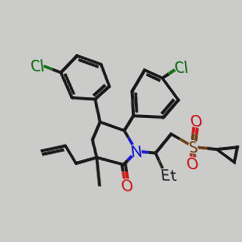 C=CCC1(C)CC(c2cccc(Cl)c2)C(c2ccc(Cl)cc2)N(C(CC)CS(=O)(=O)C2CC2)C1=O